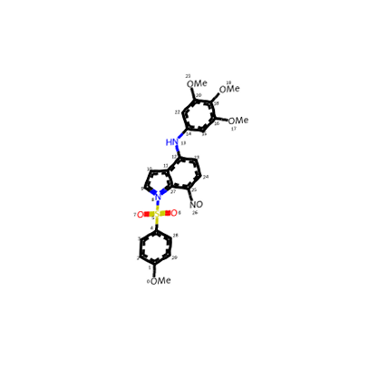 COc1ccc(S(=O)(=O)n2ccc3c(Nc4cc(OC)c(OC)c(OC)c4)ccc(N=O)c32)cc1